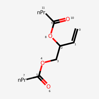 C=CC(COC(=O)CCC)OC(=O)CCC